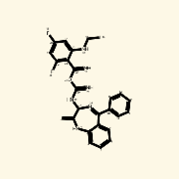 C=C1Nc2ccccc2C(c2ccccc2)=NC1NC(=N)OC(=N)c1c(F)cc(F)cc1NCI